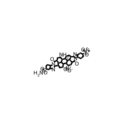 CN(C)S(=O)(=O)c1ccc2c(c1)nc1c3ccc4c5c(N)cc6c(=O)n7c8ccc(S(N)(=O)=O)cc8nc7c7ccc(c8c([N+](=O)[O-])cc(c(=O)n21)c3c48)c5c67